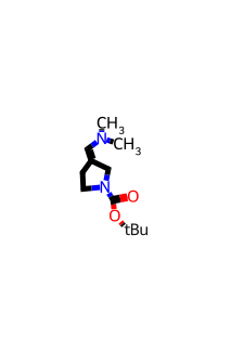 CN(C)/C=C1/CCN(C(=O)OC(C)(C)C)C1